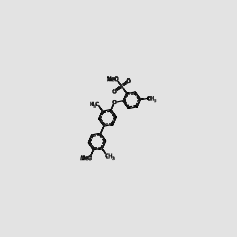 COc1ccc(-c2ccc(Oc3ccc(C)cc3S(=O)(=O)OC)c(C)c2)cc1C